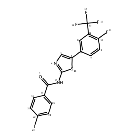 O=C(Nc1ncc(-c2ccc(F)c(C(F)(F)F)c2)s1)c1ccc(I)cc1